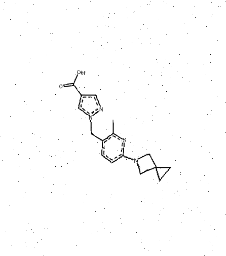 Cc1nc(N2CC3(CC3)C2)ccc1Cn1cc(C(=O)O)cn1